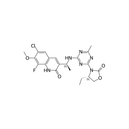 CC[C@H]1COC(=O)N1c1nc(C)nc(N[C@@H](C)c2cc3cc(Cl)c(OC)c(F)c3[nH]c2=O)n1